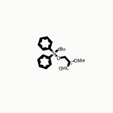 CO[C@H](C=O)CO[Si](c1ccccc1)(c1ccccc1)C(C)(C)C